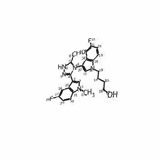 Cn1cc(C2=NNC(C=O)N2c2cn(CCCCO)c3ccc(F)cc23)c2cc(F)ccc21